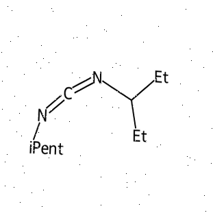 CCCC(C)N=C=NC(CC)CC